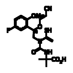 C=C(S)N(C[C@H](OCCC#N)c1cc(F)ccc1OC)C(=O)NC(C)(C)C(=O)O